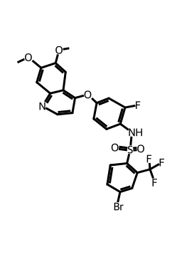 COc1cc2nccc(Oc3ccc(NS(=O)(=O)c4ccc(Br)cc4C(F)(F)F)c(F)c3)c2cc1OC